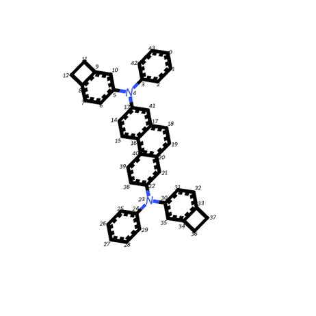 c1ccc(N(c2ccc3c(c2)CC3)c2ccc3c(ccc4cc(N(c5ccccc5)c5ccc6c(c5)CC6)ccc43)c2)cc1